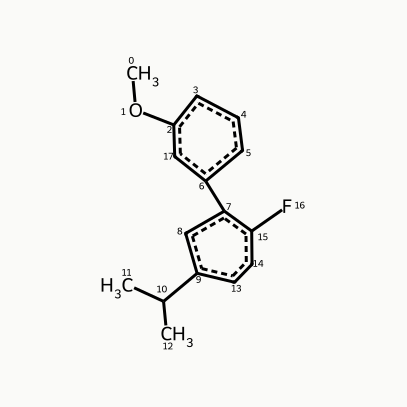 COc1cccc(-c2cc(C(C)C)ccc2F)c1